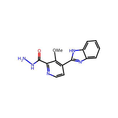 COc1c(-c2nc3ccccc3[nH]2)ccnc1C(=O)NN